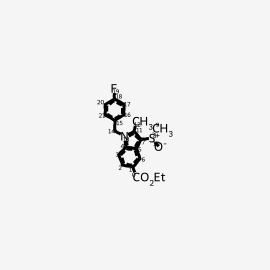 CCOC(=O)c1ccc2c(c1)c([S+](C)[O-])c(C)n2Cc1ccc(F)cc1